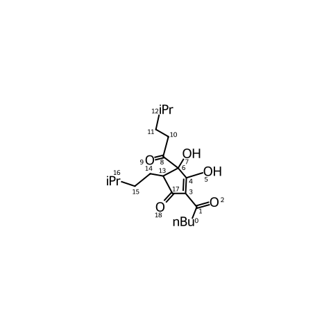 CCCCC(=O)C1=C(O)C(O)(C(=O)CCC(C)C)C(CCC(C)C)C1=O